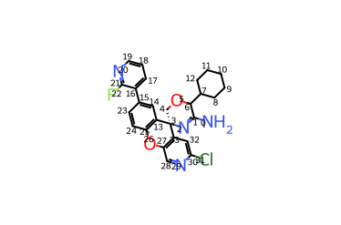 NC1=N[C@]2(COC1C1CCCCC1)c1cc(-c3cccnc3F)ccc1Oc1cnc(Cl)cc12